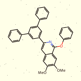 COc1cc2cc(-c3cc(-c4ccccc4)cc(-c4ccccc4)c3)nc(Oc3ccccc3)c2cc1OC